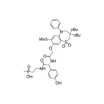 CCCCC1(CCCC)CN(c2ccccc2)c2cc(SC)c(OCC(=O)N[C@@H](C(=O)NCCP(C)(=O)O)c3ccc(O)cc3)cc2S(=O)(=O)C1